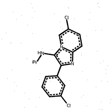 CC(C)Nc1c(-c2cccc(Cl)c2)nc2ccc(Cl)cn12